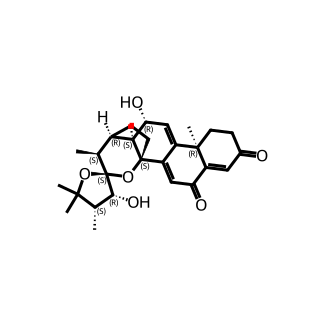 C[C@H]1[C@@H](O)[C@@]2(OC1(C)C)O[C@]13CC[C@H]([C@@H]2C)[C@@]1(C)[C@H](O)C=C1C3=CC(=O)C2=CC(=O)CC[C@@]21C